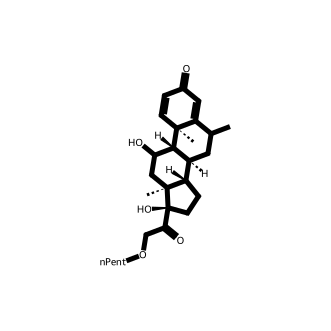 CCCCCOCC(=O)[C@@]1(O)CC[C@H]2[C@@H]3CC(C)C4=CC(=O)C=C[C@]4(C)[C@H]3C(O)C[C@@]21C